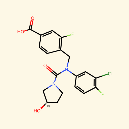 O=C(O)c1ccc(CN(C(=O)N2CC[C@@H](O)C2)c2ccc(F)c(Cl)c2)c(F)c1